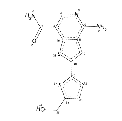 NC(=O)c1cnc(N)c2cc(-c3ccc(CO)s3)sc12